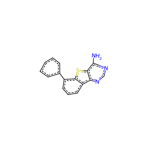 Nc1ncnc2c1sc1c(-c3ccccc3)cccc12